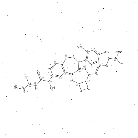 CCCc1cc(Cl)ccc1C1COc2ccc(C(O)C(=O)N[S+]([O-])NCC)cc2N(CC2CCC2C(/C=C/CCN(C)C(C)=O)OC)C1